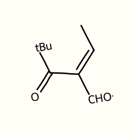 CC=C([C]=O)C(=O)C(C)(C)C